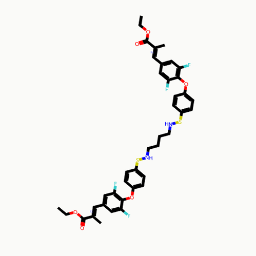 CCOC(=O)/C(C)=C/c1cc(F)c(Oc2ccc(SNCCCCNSc3ccc(Oc4c(F)cc(/C=C(\C)C(=O)OCC)cc4F)cc3)cc2)c(F)c1